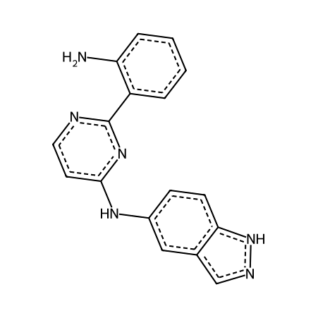 Nc1ccccc1-c1nccc(Nc2ccc3[nH]ncc3c2)n1